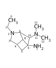 CCN1CC2CC3(N)C2C1C3N(C)C